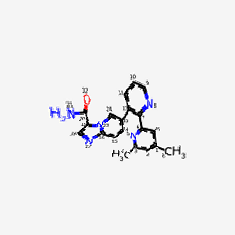 Cc1cc(C)nc(-c2ncccc2-c2ccc3ncc(C(N)=O)n3c2)c1